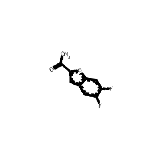 CC(=O)c1cc2cc(F)c(F)cc2o1